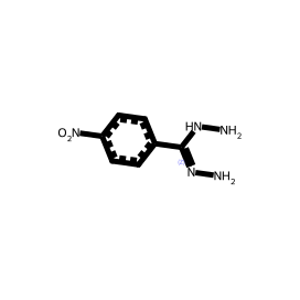 N/N=C(\NN)c1ccc([N+](=O)[O-])cc1